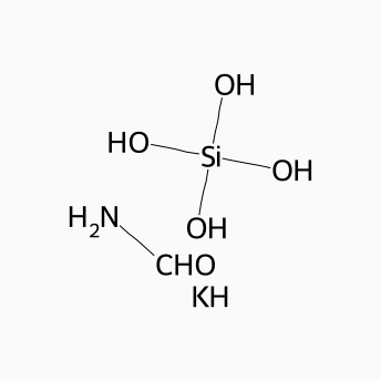 NC=O.O[Si](O)(O)O.[KH]